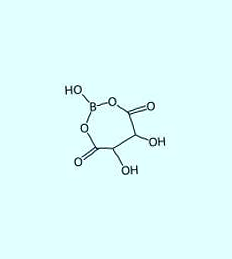 O=C1OB(O)OC(=O)C(O)C1O